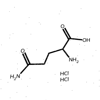 Cl.Cl.NC(=O)CCC(N)C(=O)O